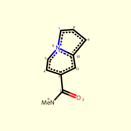 CNC(=O)c1ccn2cccc2c1